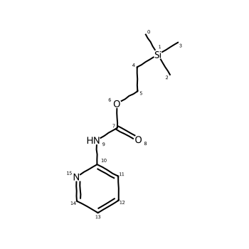 C[Si](C)(C)CCOC(=O)Nc1ccccn1